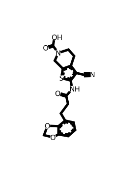 N#Cc1c(NC(=O)CCc2cccc3c2OCO3)sc2c1CCN(C(=O)O)C2